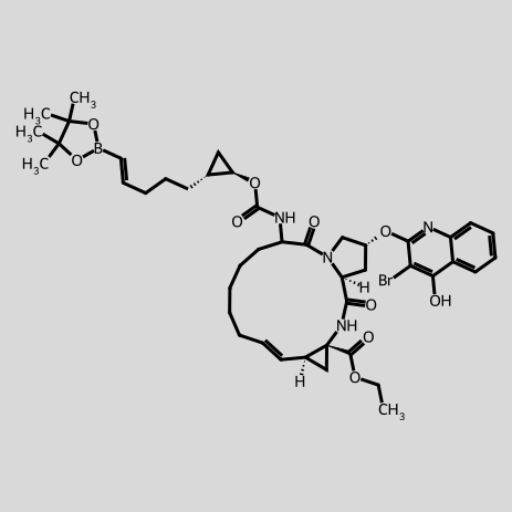 CCOC(=O)[C@@]12C[C@H]1/C=C/CCCCCC(NC(=O)O[C@@H]1C[C@H]1CCC/C=C/B1OC(C)(C)C(C)(C)O1)C(=O)N1C[C@H](Oc3nc4ccccc4c(O)c3Br)C[C@H]1C(=O)N2